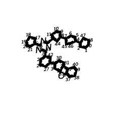 c1ccc(-c2ccc(-c3cccc(-c4nc(-c5ccccc5)nc(-c5cccc(-c6ccc7c(c6)oc6ccccc67)c5)n4)c3)cc2)cc1